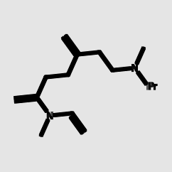 C=CN(C)C(=C)CCC(=C)CCN(C)C(C)C